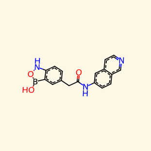 O=C(Cc1ccc2c(c1)B(O)ON2)Nc1ccc2cnccc2c1